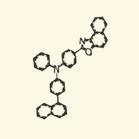 c1ccc(N(c2ccc(-c3nc4c(ccc5ccccc54)o3)cc2)c2ccc(-c3cccc4ccccc34)cc2)cc1